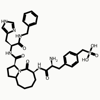 N[C@@H](Cc1ccc(CP(=O)(O)O)cc1)C(=O)N[C@H]1CCCCC2CC[C@@H](C(=O)N[C@@H](Cc3c[nH]cn3)C(=O)NCc3ccccc3)N2C1=O